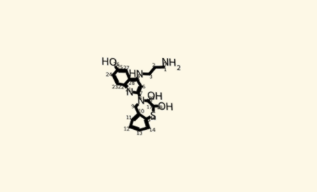 NCCCNc1cc(N2Cc3ccccc3SC(O)C2O)nc2ccc(O)cc12